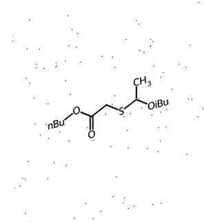 CCCCOC(=O)CSC(C)OCC(C)C